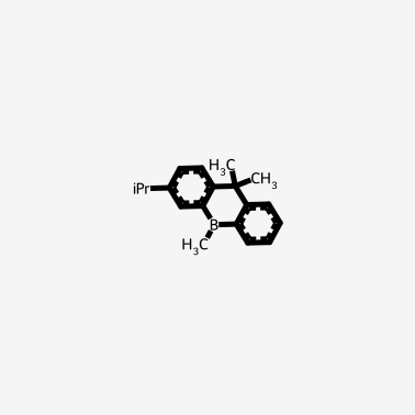 CB1c2ccccc2C(C)(C)c2ccc(C(C)C)cc21